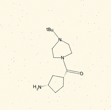 CC(C)(C)N1CCN(C(=O)[C@@H]2CC[C@H](N)C2)CC1